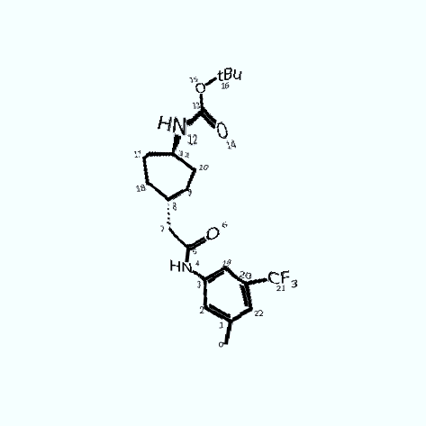 Cc1cc(NC(=O)C[C@H]2CC[C@H](NC(=O)OC(C)(C)C)CC2)cc(C(F)(F)F)c1